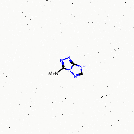 CNc1nnc2[nH]cnn12